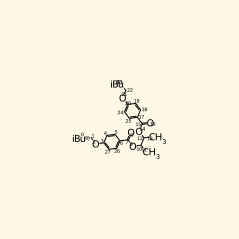 CC[C@@H](C)COc1ccc(C(=O)OC(C)C(C)OC(=O)c2ccc(OC[C@H](C)CC)cc2)cc1